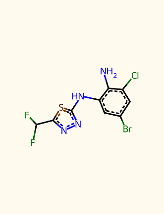 Nc1c(Cl)cc(Br)cc1Nc1nnc(C(F)F)s1